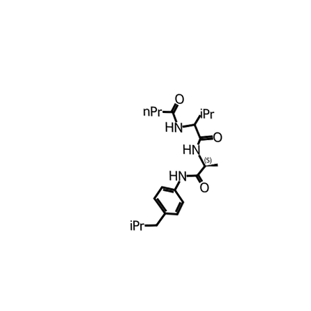 CCCC(=O)NC(C(=O)N[C@@H](C)C(=O)Nc1ccc(CC(C)C)cc1)C(C)C